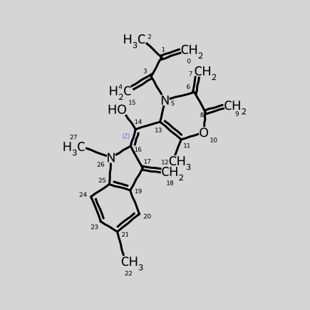 C=C(C)C(=C)N1C(=C)C(=C)OC(C)=C1/C(O)=c1\c(=C)c2cc(C)ccc2n1C